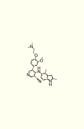 COc1cc(-c2cncc(C#N)c2Nc2ccc3[nH]c(C)cc3c2C)ccc1OCCN(C)C